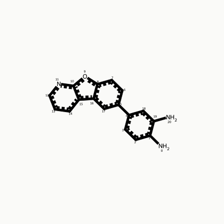 Nc1ccc(-c2ccc3oc4ncccc4c3c2)cc1N